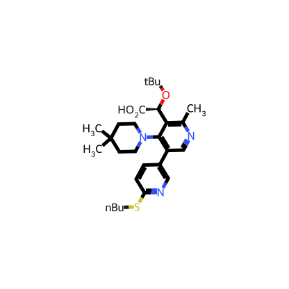 CCCCSc1ccc(-c2cnc(C)c([C@H](OC(C)(C)C)C(=O)O)c2N2CCC(C)(C)CC2)cn1